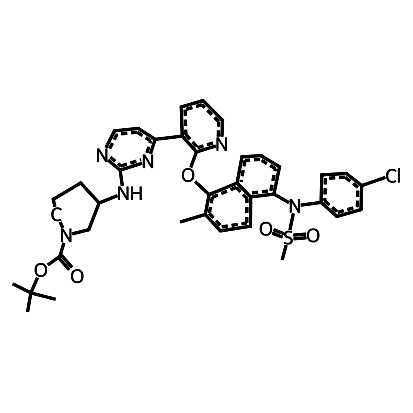 Cc1ccc2c(N(c3ccc(Cl)cc3)S(C)(=O)=O)cccc2c1Oc1ncccc1-c1ccnc(NC2CCCN(C(=O)OC(C)(C)C)C2)n1